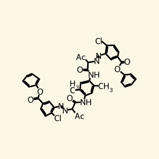 CC(=O)C(/N=N/c1cc(C(=O)Oc2ccccc2)ccc1Cl)C(=O)Nc1cc(C)c(NC(=O)C(/N=N/c2cc(C(=O)Oc3ccccc3)ccc2Cl)C(C)=O)cc1C